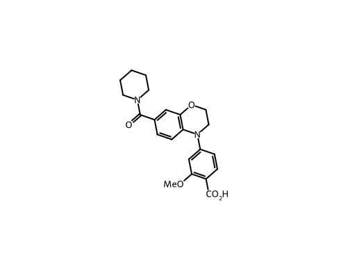 COc1cc(N2CCOc3cc(C(=O)N4CCCCC4)ccc32)ccc1C(=O)O